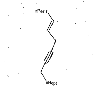 [CH2]CCCC/C=C/CC#CCCCCCCCC